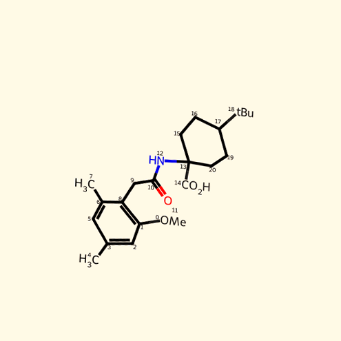 COc1cc(C)cc(C)c1CC(=O)NC1(C(=O)O)CCC(C(C)(C)C)CC1